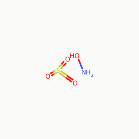 NO.O=S(=O)=O